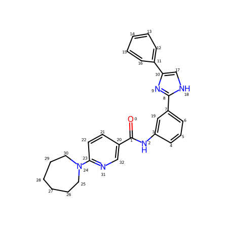 O=C(Nc1cccc(-c2nc(-c3ccccc3)c[nH]2)c1)c1ccc(N2CCCCCC2)nc1